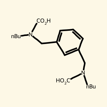 CCCCN(Cc1cccc(CN(CCCC)C(=O)O)c1)C(=O)O